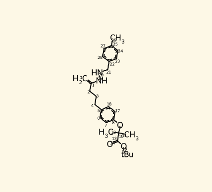 C=C(CCCc1ccc(OC(C)(C)C(=O)OC(C)(C)C)cc1)NNCc1ccc(C)cc1